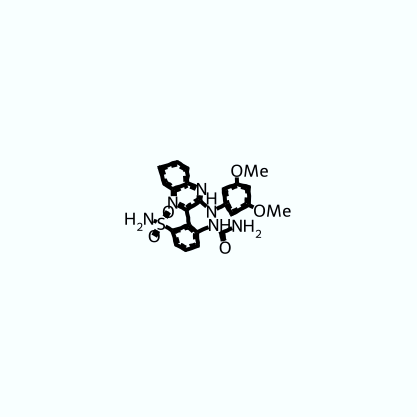 COc1cc(Nc2nc3ccccc3nc2-c2c(NC(N)=O)cccc2S(N)(=O)=O)cc(OC)c1